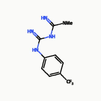 CNC(=N)NC(=N)Nc1ccc(C(F)(F)F)cc1